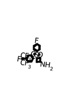 N[C@H]1C[C@@](c2ccc(C(F)(C(F)(F)F)C(F)(F)F)cc2)(S(=O)(=O)c2ccc(F)cc2)C1